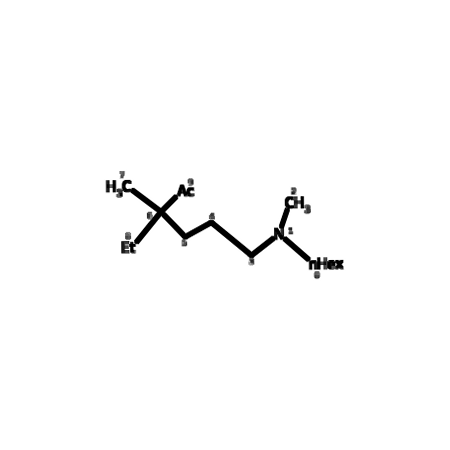 CCCCCCN(C)CCCC(C)(CC)C(C)=O